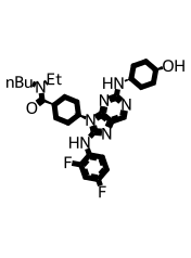 CCCCN(CC)C(=O)[C@H]1CC[C@@H](n2c(Nc3ccc(F)cc3F)nc3cnc(N[C@H]4CC[C@H](O)CC4)nc32)CC1